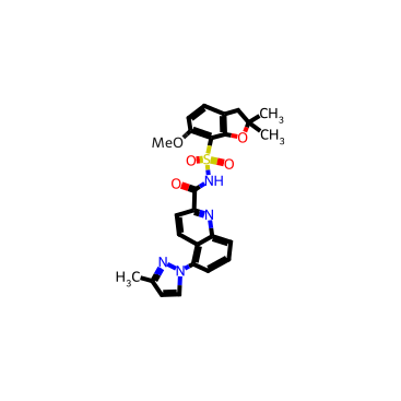 COc1ccc2c(c1S(=O)(=O)NC(=O)c1ccc3c(-n4ccc(C)n4)cccc3n1)OC(C)(C)C2